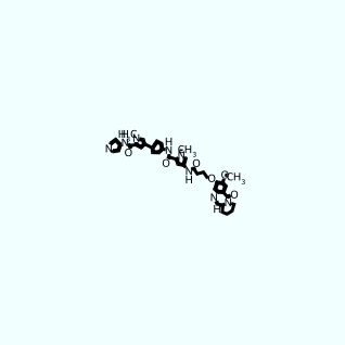 COc1cc2c(cc1OCCCC(=O)Nc1cc(C(=O)Nc3ccc(-c4cc(C(=O)Nc5ccncc5)n(C)c4)cc3)n(C)c1)N=C[C@@H]1CCCCN1C2=O